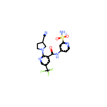 N#CC1CCN(c2ncc(C(F)(F)F)cc2C(=O)Nc2ccnc(S(N)(=O)=O)c2)C1